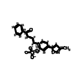 Cc1cc(-c2cc[n+](CCCC(=O)c3ccccc3)cc2)on1.[O-][Cl+3]([O-])([O-])[O-]